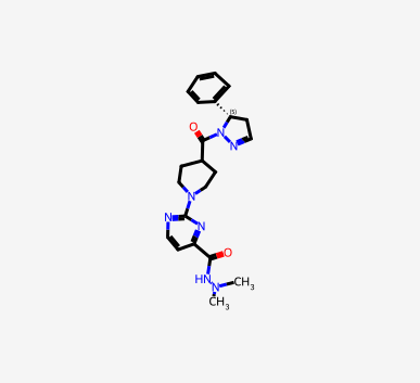 CN(C)NC(=O)c1ccnc(N2CCC(C(=O)N3N=CC[C@H]3c3ccccc3)CC2)n1